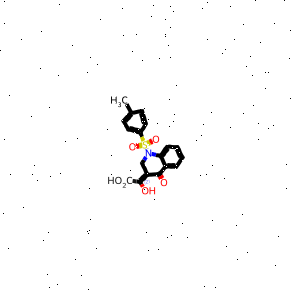 Cc1ccc(S(=O)(=O)N2C/C(=C(/O)C(=O)O)C(=O)c3ccccc32)cc1